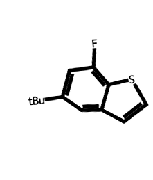 CC(C)(C)c1cc(F)c2sccc2c1